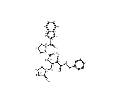 O=C(NCc1ccccc1)C(=O)C(C[C@@H]1CCNC1=O)NC(=O)[C@@H]1CCCN1C(=O)c1cc2ccccc2[nH]1